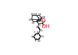 O=C(O)C(C=Cc1ccccc1)C12CC3CC(CC(C3)C1)C2